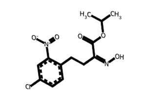 CC(C)OC(=O)/C(CCc1ccc(Cl)cc1[N+](=O)[O-])=N\O